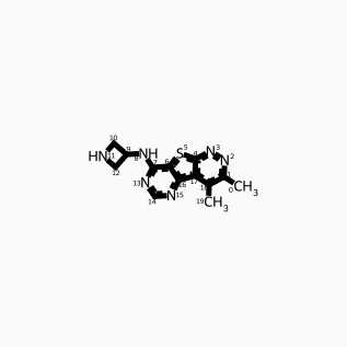 Cc1nnc2sc3c(NC4CNC4)ncnc3c2c1C